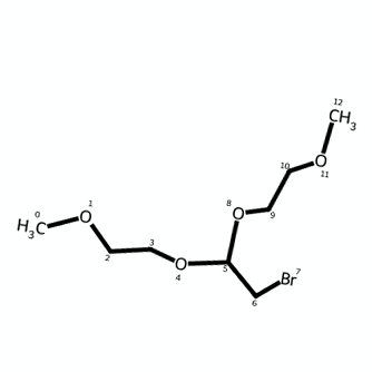 COCCOC(CBr)OCCOC